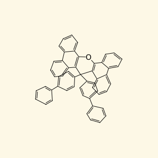 c1ccc(-c2ccc(C3(c4ccc(-c5ccccc5)cc4)c4c(c5ccccc5c5ccccc45)Oc4c3c3ccccc3c3ccccc43)cc2)cc1